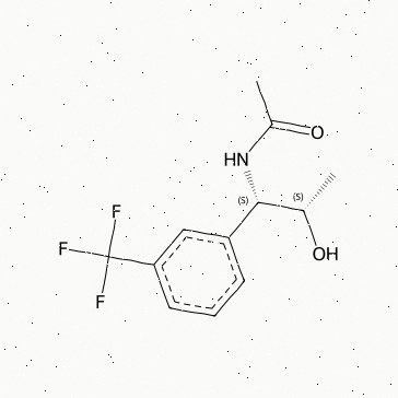 CC(=O)N[C@@H](c1cccc(C(F)(F)F)c1)[C@H](C)O